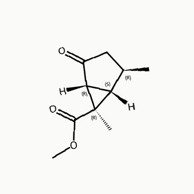 COC(=O)[C@]1(C)[C@H]2[C@H](C)CC(=O)[C@H]21